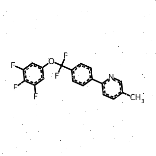 Cc1ccc(-c2ccc(C(F)(F)Oc3cc(F)c(F)c(F)c3)cc2)nc1